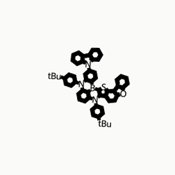 CC(C)(C)c1ccc(N2c3cc(-n4c5ccccc5c5ccccc54)ccc3B3c4sc5c(ccc6oc7ccccc7c65)c4N(c4ccc(C(C)(C)C)cc4)c4cccc2c43)cc1